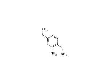 CCc1ccc(SN)c(N)c1